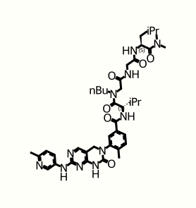 CCCCN(CC(=O)NCC(=O)N[C@@H](CC(C)C)C(=O)N(C)C)C(=O)[C@@H](NC(=O)c1ccc(C)c(N2Cc3cnc(Nc4ccc(C)nc4)nc3NC2=O)c1)C(C)C